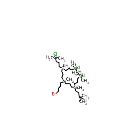 C[Si](C)(Cl)CCC[Si](C)(CCC[Si](C)(C)Cl)CCC[Si](C)(CCCCBr)CCC[Si](C)(CCC[Si](C)(C)Cl)CCC[Si](C)(C)Cl